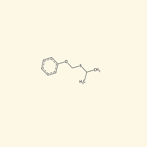 CC(C)SCOc1ccccc1